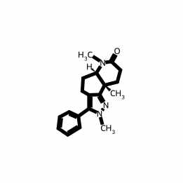 CN1C(=O)CC[C@]2(C)c3nn(C)c(-c4ccccc4)c3CC[C@@H]12